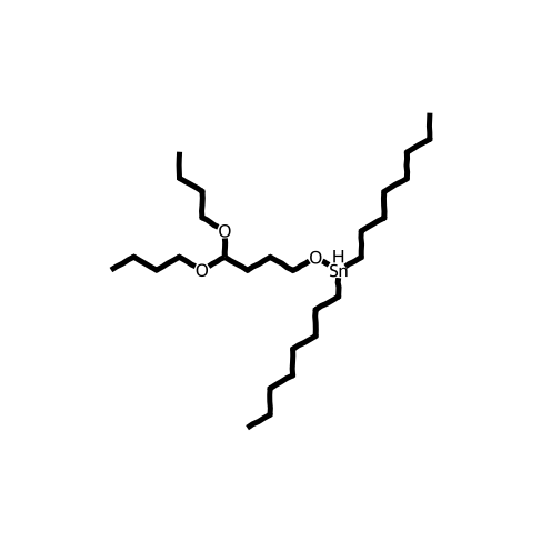 CCCCCCC[CH2][SnH]([CH2]CCCCCCC)[O]CCCC(OCCCC)OCCCC